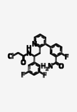 NC(=O)c1cc(-c2cccnc2CC(NC(=O)CCl)c2cc(F)cc(F)c2)ccc1F